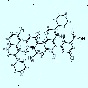 O=C(O)c1cc(Cl)ccc1Nc1c(C2CCOCC2)cnc2c(-c3c(Cl)ccc(Nc4c(C5=CCOCC5)cnc5ccc(Cl)cc45)c3C(=O)O)cc(Cl)cc12